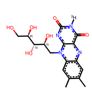 [2H]n1c(=O)nc2n(C[C@H](O)[C@H](O)[C@H](O)CO)c3cc(C)c(C)cc3nc-2c1=O